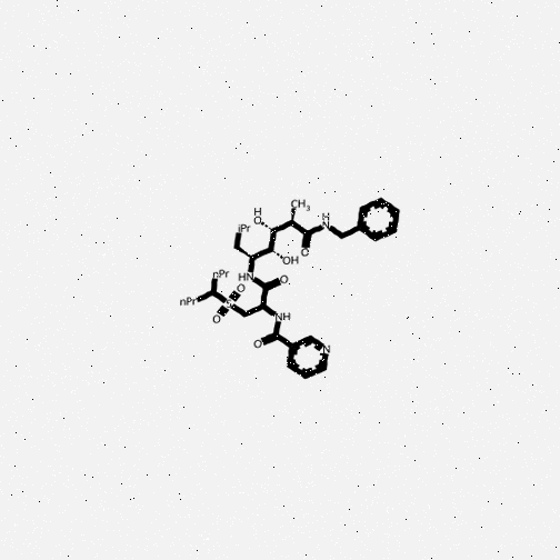 CCCC(CCC)S(=O)(=O)CC(NC(=O)c1cccnc1)C(=O)N[C@@H](CC(C)C)[C@@H](O)[C@H](O)[C@@H](C)C(=O)NCc1ccccc1